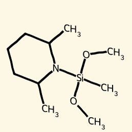 CO[Si](C)(OC)N1C(C)CCCC1C